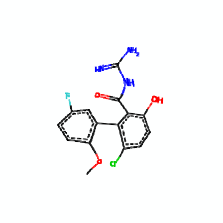 COc1ccc(F)cc1-c1c(Cl)ccc(O)c1C(=O)NC(=N)N